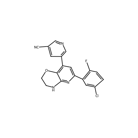 N#Cc1cncc(-c2cc(-c3cc(Cl)ccc3F)nc3c2OCCN3)c1